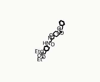 CCOP(=O)(Cc1ccc(NC(=O)C2=NOC3(CCN(S(=O)(=O)Cc4ccccc4)CC3)C2)cc1)OCC